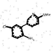 CSc1ccc(-c2cc(Cl)ccc2N)cn1